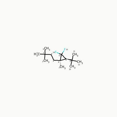 CC(C)(C)CC[C@]1(C)[C@H](C(C)(C)C)C1(F)F